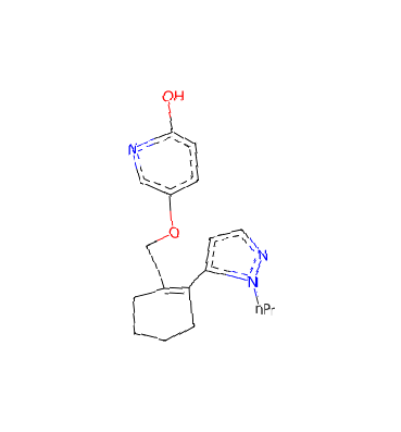 CCCn1nccc1C1=C(COc2ccc(O)nc2)CCCC1